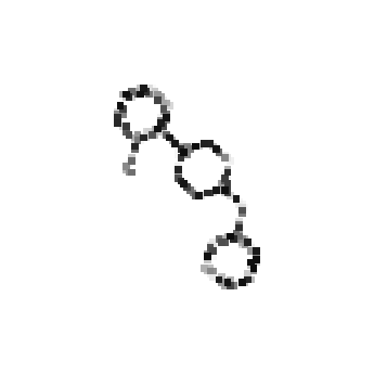 Clc1ccccc1N1CCN(Cc2ccccc2)CC1